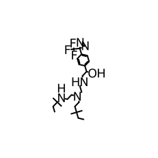 CCC(C)(C)CCN(CCNCC(O)c1ccc(C2(C(F)(F)F)N=N2)cc1)CCNC(C)(C)CC